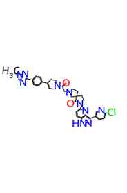 Cn1cnc(-c2ccc(C3=CCN(C(=O)CN4CC[C@]5(CCN(c6ccc7[nH]nc(-c8ccc(Cl)nc8)c7n6)C5=O)C4)CC3)cc2)n1